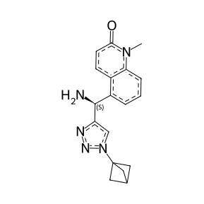 Cn1c(=O)ccc2c([C@H](N)c3cn(C45CC(C4)C5)nn3)cccc21